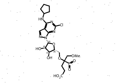 COCC(CCC(=O)O)(OC[C@H]1O[C@@H](n2ncc3c(NC4CCCC4)nc(Cl)nc32)[C@H](O)[C@@H]1O)P(=O)=O